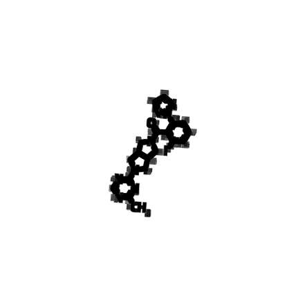 Cc1ncnc(N2CC3CN(C(=O)c4c(F)cccc4-n4nccn4)CC3C2)n1